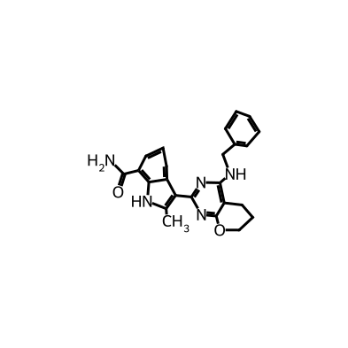 Cc1[nH]c2c(C(N)=O)cccc2c1-c1nc(NCc2ccccc2)c2c(n1)OCCC2